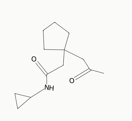 CC(=O)CC1(CC(=O)NC2CC2)CCCC1